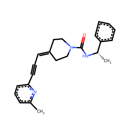 Cc1cccc(C#CC=C2CCN(C(=O)N[C@@H](C)c3ccccc3)CC2)n1